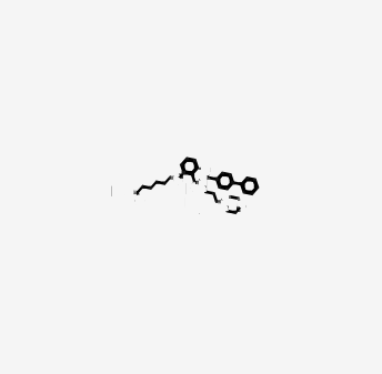 BC(c1ccccc1OCCCCCC(=O)O)N(CCCN1CCOCC1)C(=O)c1ccc(-c2ccccc2)cc1